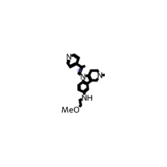 COCCNc1ccc2c(c1)c1c(n2/C=C(\C)c2ccncc2)CCN(C)C1